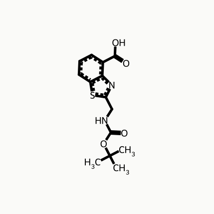 CC(C)(C)OC(=O)NCc1nc2c(C(=O)O)cccc2s1